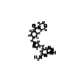 Nc1cc(Cc2cnn(Cc3ccc(C(=O)N4CCOCC4)cc3)c2)c2nn[nH]c2n1